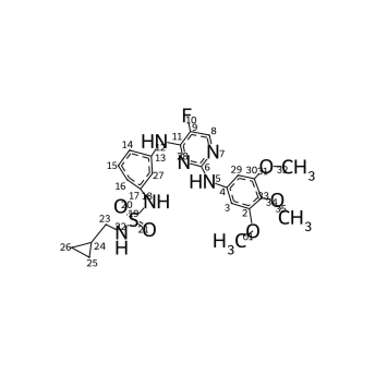 COc1cc(Nc2ncc(F)c(Nc3cccc(NS(=O)(=O)NCC4CC4)c3)n2)cc(OC)c1OC